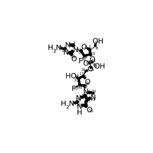 Nc1ncn([C@@H]2O[C@H](CO)C(OP(=O)(O)OC[C@H]3O[C@@H](n4cnc5c(=O)[nH]c(N)nc54)[C@@H](F)C3O)[C@@H]2F)c(=O)n1